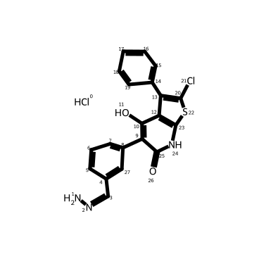 Cl.N/N=C\c1cccc(-c2c(O)c3c(-c4ccccc4)c(Cl)sc3[nH]c2=O)c1